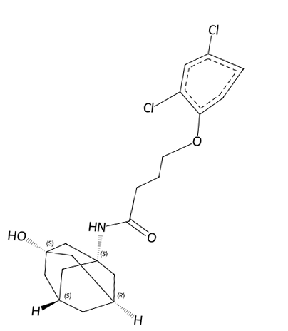 O=C(CCCOc1ccc(Cl)cc1Cl)N[C@]12C[C@@H]3C[C@@H](C[C@@](O)(C3)C1)C2